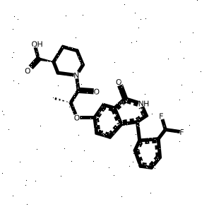 C[C@@H](Oc1ccc2c(-c3ccccc3C(F)F)c[nH]c(=O)c2c1)C(=O)N1CCC[C@H](C(=O)O)C1